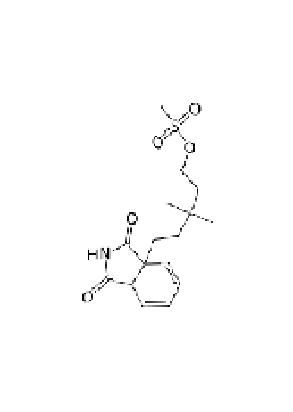 CC(C)(CCOS(C)(=O)=O)CCC12C=CC=CC1C(=O)NC2=O